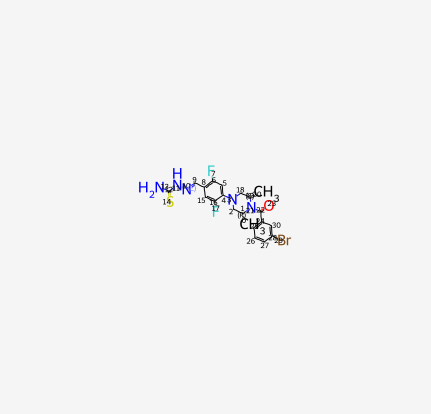 C[C@@H]1CN(c2cc(F)c(/C=N/NC(N)=S)cc2F)C[C@H](C)N1C(=O)c1cccc(Br)c1